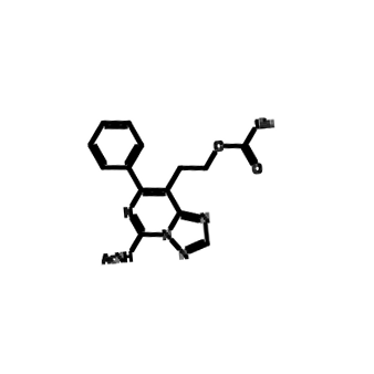 CC(=O)Nc1nc(-c2ccccc2)c(CCOC(=O)C(C)(C)C)c2ncnn12